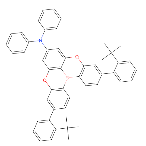 CC(C)(C)c1ccccc1-c1ccc2c(c1)Oc1cc(N(c3ccccc3)c3ccccc3)cc3c1B2c1ccc(-c2ccccc2C(C)(C)C)cc1O3